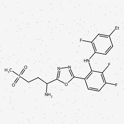 CCc1ccc(Nc2c(-c3nnc(C(N)CCS(C)(=O)=O)o3)ccc(F)c2F)c(F)c1